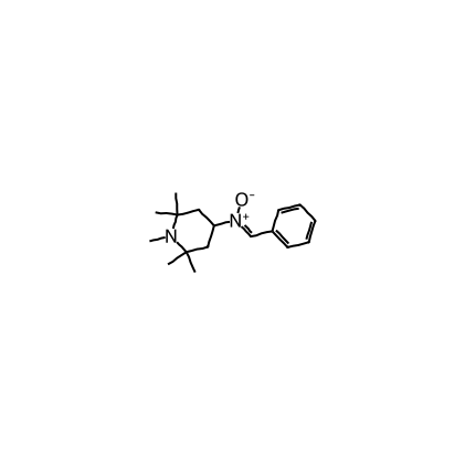 CN1C(C)(C)CC([N+]([O-])=Cc2ccccc2)CC1(C)C